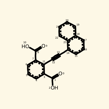 O=C(O)c1cccc(C(=O)O)c1C#Cc1cccc2ccccc12